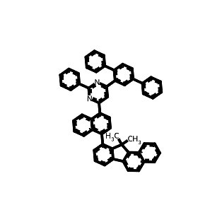 CC1(C)c2c(cccc2-c2ccc(-c3cc(-c4cc(-c5ccccc5)ccc4-c4ccccc4)nc(-c4ccccc4)n3)c3ccccc23)-c2ccc3ccccc3c21